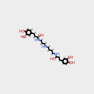 Oc1ccc(CC[C@H](O)NCCCCNCCCN[C@@H](O)CCc2ccc(O)c(O)c2)cc1O